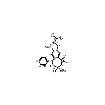 CCCC[C@]1(CC)CS(=O)(=O)C(=C/CCNC(CC)CC)/C(=C\COC)[C@@H](c2ccccc2)N1